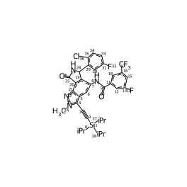 CC(C)[Si](C#Cc1c2cc(NC(=O)c3cc(F)cc(C(F)(F)F)c3)c3c(c2nn1C)C(=O)NC3c1cc(F)ccc1Cl)(C(C)C)C(C)C